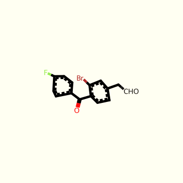 O=CCc1ccc(C(=O)c2ccc(F)cc2)c(Br)c1